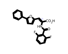 O=C(O)/C(=C/c1ccc(-c2ccccc2)o1)NC(=O)c1c(F)cccc1F